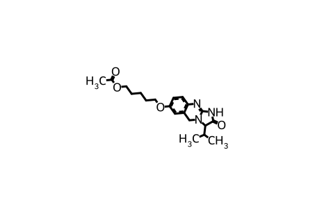 CC(=O)OCCCCCOc1ccc2c(c1)CN1C(=N2)NC(=O)C1C(C)C